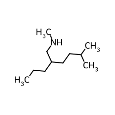 CCCC(CCC(C)C)CNC